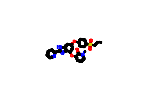 CCCS(=O)(=O)c1ccc(Oc2cc(Oc3cccn(C)c3=O)c3nc(-c4ccccn4)[nH]c3c2)cc1